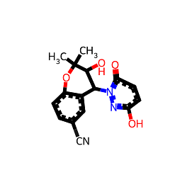 CC1(C)Oc2ccc(C#N)cc2C(n2nc(O)ccc2=O)C1O